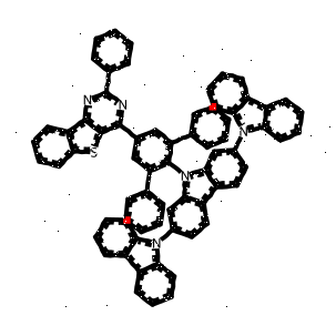 c1ccc(-c2nc(-c3cc(-c4ccccc4)c(-n4c5cc(-n6c7ccccc7c7ccccc76)ccc5c5ccc(-n6c7ccccc7c7ccccc76)cc54)c(-c4ccccc4)c3)c3sc4ccccc4c3n2)cc1